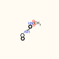 CS(=O)(=O)Nc1ccc(CCNC[C@H]2CCc3ccccc3C2)cc1